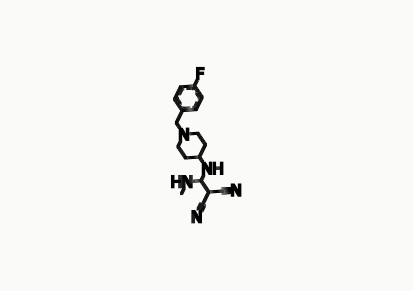 CNC(NC1CCN(Cc2ccc(F)cc2)CC1)C(C#N)C#N